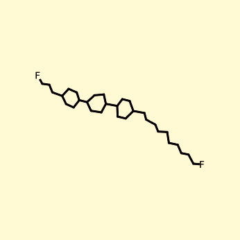 FCCCCCCCCCCC1CCC(C2CCC(C3CCC(CCCF)CC3)CC2)CC1